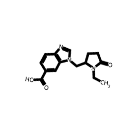 CCN1C(=O)CCC1Cn1cnc2ccc(C(=O)O)cc21